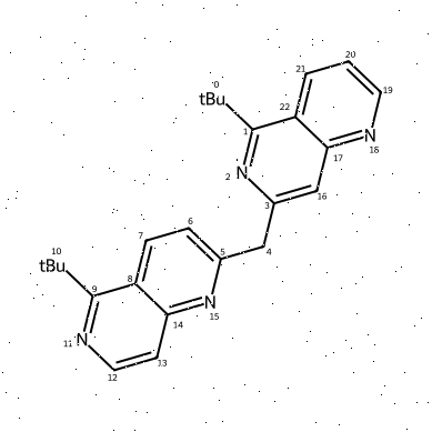 CC(C)(C)c1nc(Cc2ccc3c(C(C)(C)C)nccc3n2)cc2ncccc12